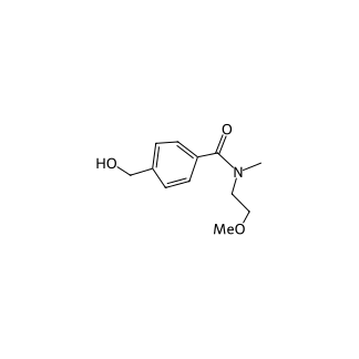 COCCN(C)C(=O)c1ccc(CO)cc1